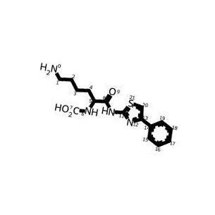 NCCCCC(NC(=O)O)C(=O)Nc1nc(-c2ccccc2)cs1